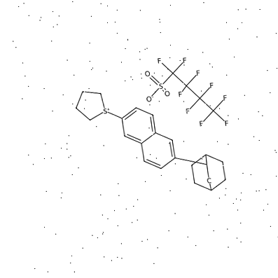 O=S(=O)([O-])C(F)(F)C(F)(F)C(F)(F)C(F)(F)F.c1cc2cc([S+]3CCCC3)ccc2cc1C1CC2CCC1CC2